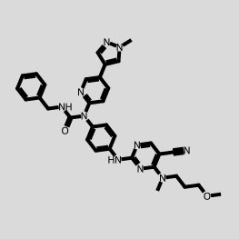 COCCCN(C)c1nc(Nc2ccc(N(C(=O)NCc3ccccc3)c3ccc(-c4cnn(C)c4)cn3)cc2)ncc1C#N